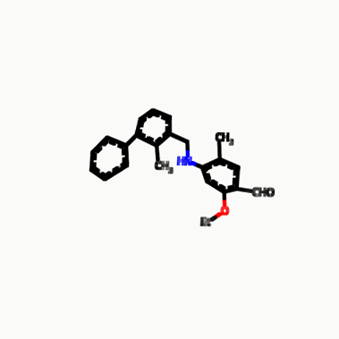 CCOc1cc(NCc2cccc(-c3ccccc3)c2C)c(C)cc1C=O